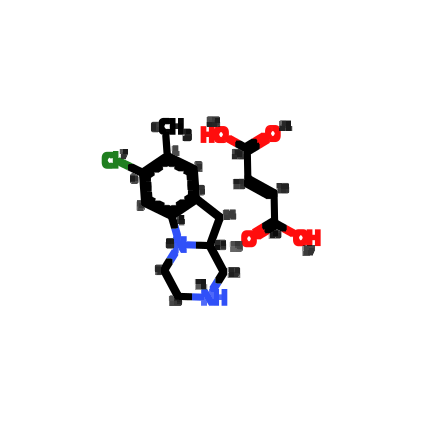 Cc1cc2c(cc1Cl)N1CCNCC1C2.O=C(O)C=CC(=O)O